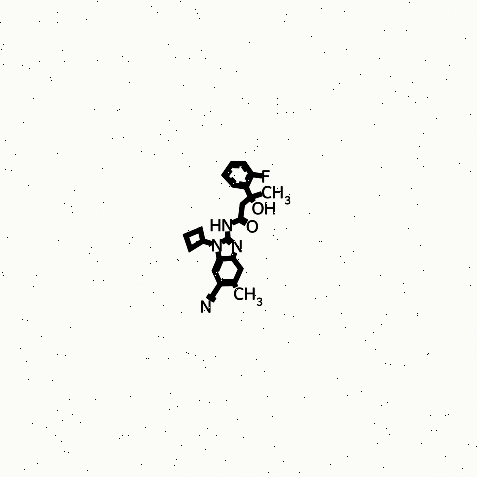 CC1=C(C#N)C=C2C(C1)N=C(NC(=O)CC(C)(O)c1ccccc1F)N2C1CCC1